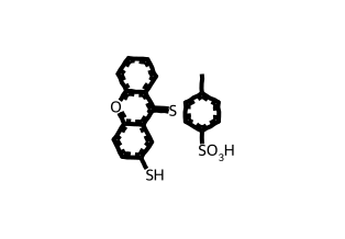 Cc1ccc(S(=O)(=O)O)cc1.S=c1c2ccccc2oc2ccc(S)cc12